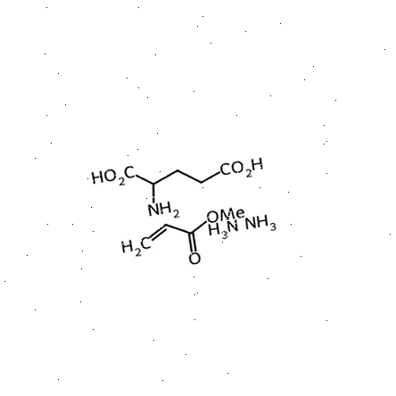 C=CC(=O)OC.N.N.NC(CCC(=O)O)C(=O)O